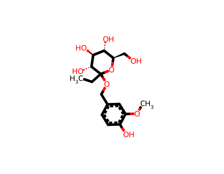 CCC1(OCc2ccc(O)c(OC)c2)O[C@H](CO)[C@@H](O)[C@H](O)[C@H]1O